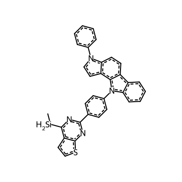 C[SiH2]c1nc(-c2ccc(-n3c4ccccc4c4ccc5c(ccn5-c5ccccc5)c43)cc2)nc2sccc12